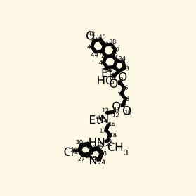 C#CC1(OC(=O)CCCC(=O)OCCN(CC)CCCC(C)Nc2ccnc3cc(Cl)ccc23)CCC2C3CCC4=CC(=O)CCC4C3CCC21CC